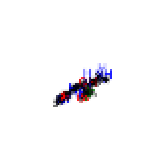 COC(=O)N[C@H](C(=O)N[C@@H](Cc1ccc(C#Cc2ccc(N3CC4CCC(C3)N4C3COC3)nc2)cc1)[C@@H](O)CNCc1ccc(/C(C=N)=C/NC2CC2)cc1)C(C)(C)C(F)(F)F